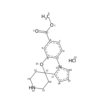 COC(=O)c1ccc2c(c1)OC1(CCNCC1)c1cccn1-2.Cl